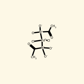 CC(=O)[N+]([O-])([O-])[Pd-2]([Cl])([Cl])[N+]([O-])([O-])C(C)=O